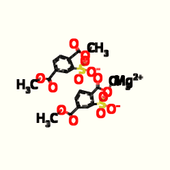 COC(=O)c1ccc(C(=O)OC)c(S(=O)(=O)[O-])c1.COC(=O)c1ccc(C(=O)OC)c(S(=O)(=O)[O-])c1.[Mg+2]